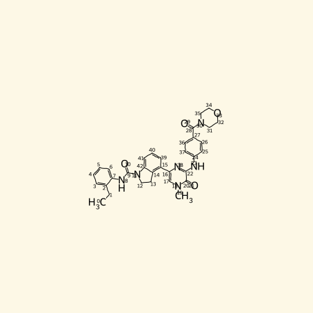 CCc1ccccc1NC(=O)N1CCc2c(-c3cn(C)c(=O)c(Nc4ccc(C(=O)N5CCOCC5)cc4)n3)cccc21